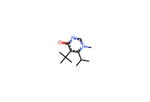 CC(C)c1c(C(C)(C)C)c(=O)ncn1C